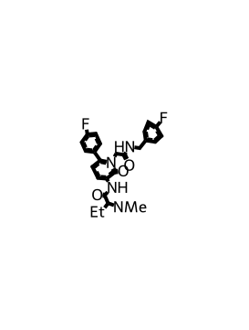 CCC(NC)C(=O)Nc1ccc(-c2ccc(F)cc2)n(CC(=O)NCc2ccc(F)cc2)c1=O